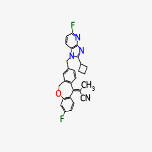 CC(C#N)=C1c2ccc(Cn3c(C4CCC4)nc4nc(F)ccc43)cc2COc2cc(F)ccc21